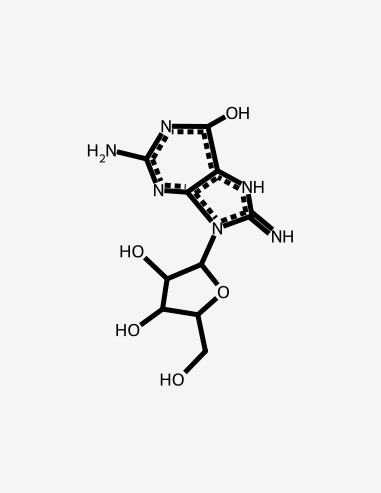 N=c1[nH]c2c(O)nc(N)nc2n1C1OC(CO)C(O)C1O